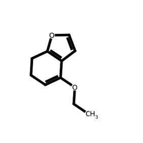 CCOC1=CCCc2occc21